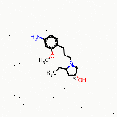 CCC1C[C@@H](O)CN1CCCc1ccc(N)cc1OC